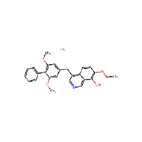 CCOc1ccc2c(Cc3cc(OC)c(-c4ccccc4)c(OC)c3)cncc2c1O.Cl